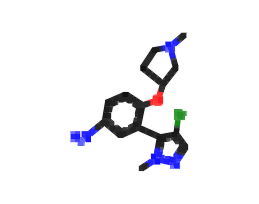 CN1CCC(Oc2ccc(N)cc2-c2c(Br)cnn2C)C1